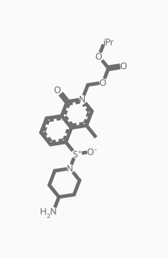 Cc1cn(COC(=O)OC(C)C)c(=O)c2cccc([S+]([O-])N3CCC(N)CC3)c12